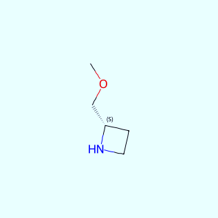 COC[C@@H]1CCN1